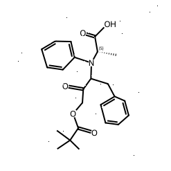 C[C@@H](C(=O)O)N(c1ccccc1)C(Cc1ccccc1)C(=O)COC(=O)C(C)(C)C